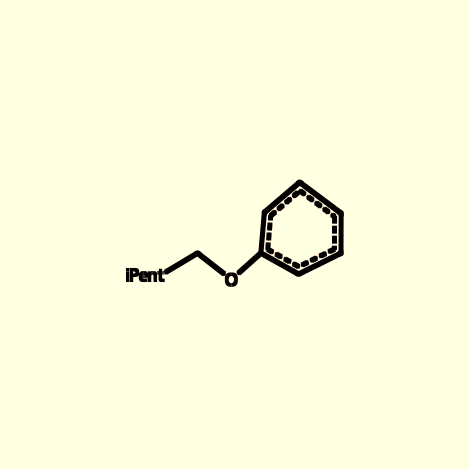 CCCC(C)COc1ccccc1